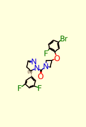 O=C(N1CC(Oc2cc(Br)ccc2F)C1)N1N=CC[C@H]1c1cc(F)cc(F)c1